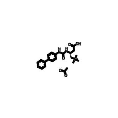 CC(=O)[O-].C[N+](C)(C)C[C@@H](CC(=O)O)NC(=O)Nc1ccc(-c2ccccc2)cc1